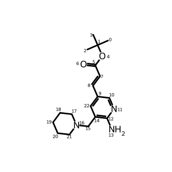 CC(C)(C)OC(=O)C=Cc1cnc(N)c(CN2CCCCC2)c1